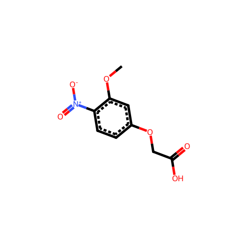 COc1cc(OCC(=O)O)ccc1[N+](=O)[O-]